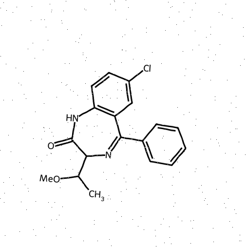 COC(C)C1N=C(c2ccccc2)c2cc(Cl)ccc2NC1=O